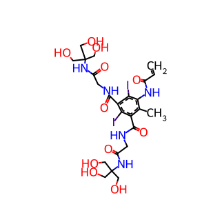 C=CC(=O)Nc1c(C)c(C(=O)NCC(=O)NC(CO)(CO)CO)c(I)c(C(=O)NCC(=O)NC(CO)(CO)CO)c1I